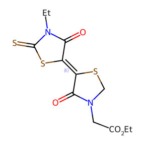 CCOC(=O)CN1CS/C(=C2/SC(=S)N(CC)C2=O)C1=O